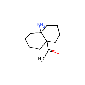 CC(=O)C12CCCCC1(N)CCCC2